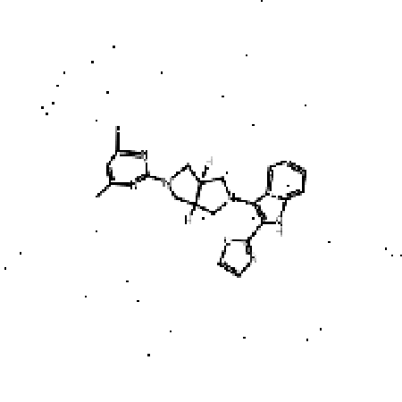 Cc1cc(C)nc(N2C[C@@H]3CN(c4c(-c5ncco5)[nH]c5ccccc45)C[C@@H]3C2)n1